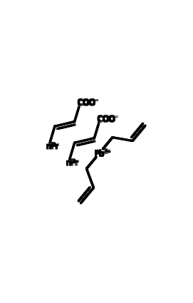 C=C[CH2][Pb+2][CH2]C=C.CCCC=CC(=O)[O-].CCCC=CC(=O)[O-]